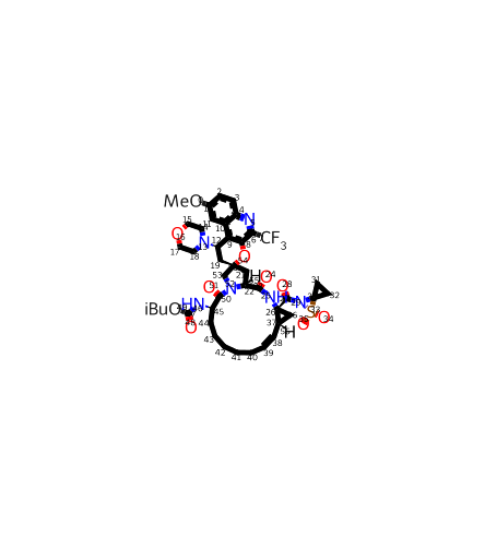 COc1ccc2nc(C(F)(F)F)c3c(c2c1)[C@@H](N1CCOCC1)C[C@]1(C[C@H]2C(=O)N[C@]4(C(=O)N5C6(CC6)S5(=O)=O)C[C@H]4/C=C\CCCCC[C@H](NC(=O)OCC(C)C)C(=O)N2C1)O3